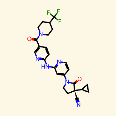 N#C[C@@]1(C2CC2)CCN(c2ccnc(Nc3ccc(C(=O)N4CCC(C(F)(F)F)CC4)cn3)c2)C1=O